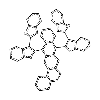 c1ccc2oc(-c3c(-c4c5ccccc5c(-c5sc6ccccc6c5-c5cc6ccccc6o5)c5cc6c(ccc7ccccc76)cc45)sc4ccccc34)cc2c1